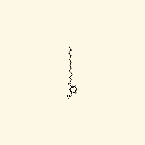 CCCCCCCCCCCCOc1cccc(N)c1